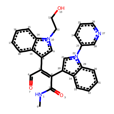 CNC(=O)/C(=C(\C=O)c1cn(CCO)c2ccccc12)c1cn(-c2cccnc2)c2ccccc12